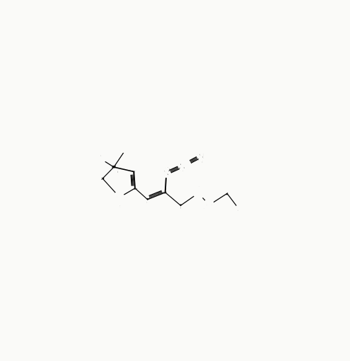 CCOOC/C(=C/C1=CC(F)(F)CO1)N=[N+]=[N-]